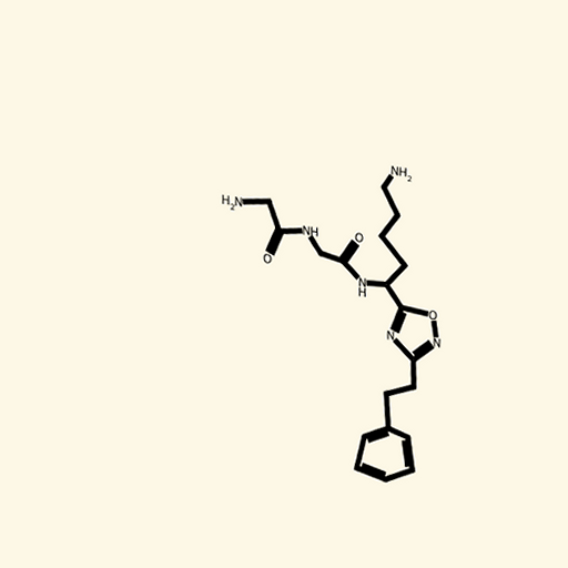 NCCCCC(NC(=O)CNC(=O)CN)c1nc(CCc2ccccc2)no1